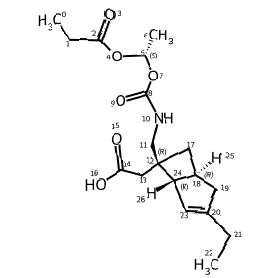 CCC(=O)O[C@H](C)OC(=O)NC[C@@]1(CC(=O)O)C[C@H]2CC(CC)=C[C@@H]21